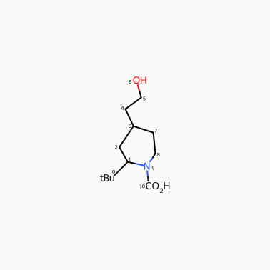 CC(C)(C)C1CC(CCO)CCN1C(=O)O